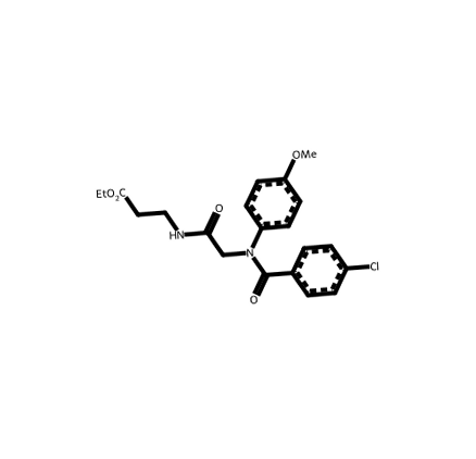 CCOC(=O)CCNC(=O)CN(C(=O)c1ccc(Cl)cc1)c1ccc(OC)cc1